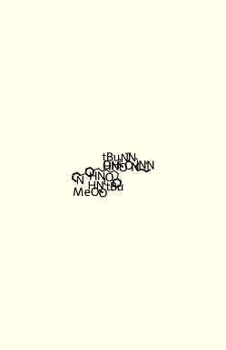 COC(=O)NC(C(=O)NC(Cc1ccc(-c2ccccn2)cc1)C(O)CC(Cc1ccccc1)NC(=O)C(N1CCN(Cc2ncc3ccncn23)C1=O)C(C)(C)C)C(C)(C)C